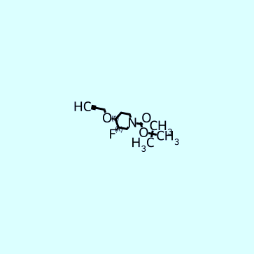 C#CCO[C@H]1CCN(C(=O)OC(C)(C)C)C[C@H]1F